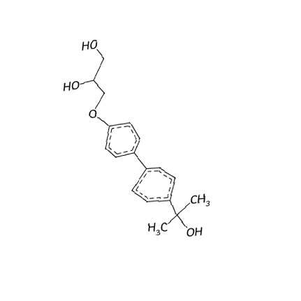 CC(C)(O)c1ccc(-c2ccc(OCC(O)CO)cc2)cc1